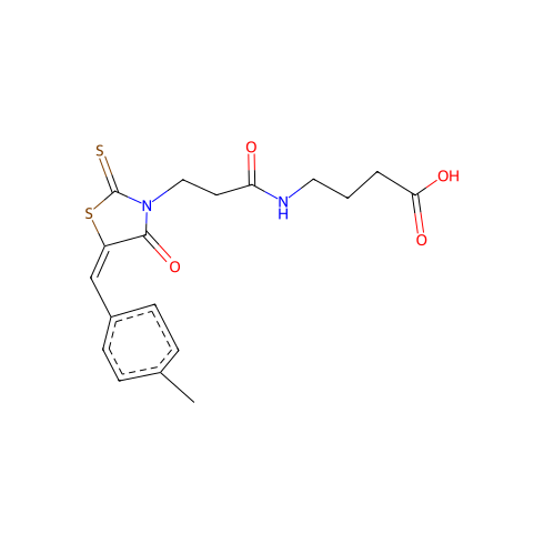 Cc1ccc(/C=C2/SC(=S)N(CCC(=O)NCCCC(=O)O)C2=O)cc1